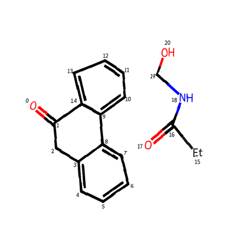 O=C1Cc2ccccc2-c2ccccc21.[CH2]CC(=O)NCO